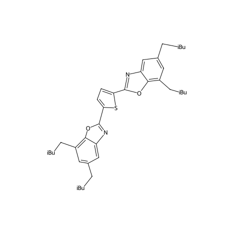 CCC(C)Cc1cc(CC(C)CC)c2oc(-c3ccc(-c4nc5cc(CC(C)CC)cc(CC(C)CC)c5o4)s3)nc2c1